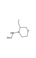 CCC1COCCN1N[C]=O